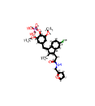 COc1cc(/C=C2/C(C)=C(CC(=O)NCc3ccco3)c3cc(F)ccc32)cc(OC)c1OP(=O)(O)O